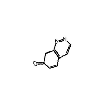 O=C1C=Cc2ccnnc2C1